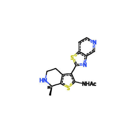 CC(=O)Nc1sc2c(c1-c1nc3cnccc3s1)CCN[C@@H]2C